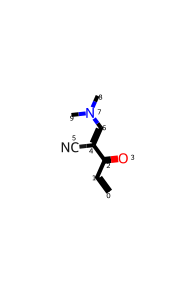 C=CC(=O)/C(C#N)=C/N(C)C